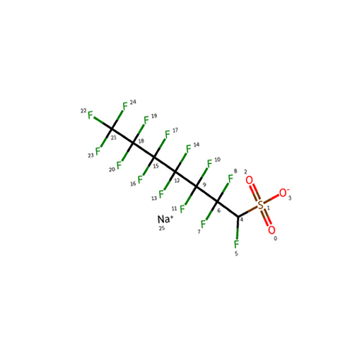 O=S(=O)([O-])C(F)C(F)(F)C(F)(F)C(F)(F)C(F)(F)C(F)(F)C(F)(F)F.[Na+]